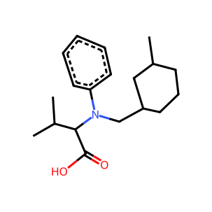 CC1CCCC(CN(c2ccccc2)C(C(=O)O)C(C)C)C1